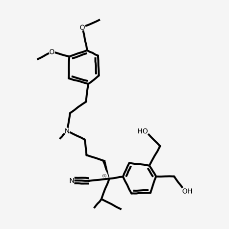 COc1ccc(CCN(C)CCC[C@@](C#N)(c2ccc(CO)c(CO)c2)C(C)C)cc1OC